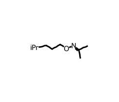 CC(C)=NOCCCC(C)C